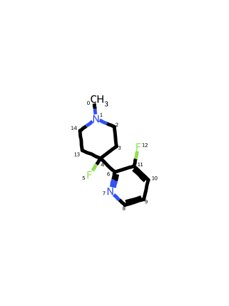 CN1CCC(F)(c2ncccc2F)CC1